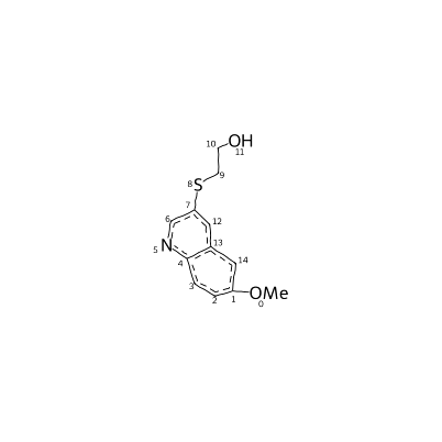 COc1ccc2ncc(SCCO)cc2c1